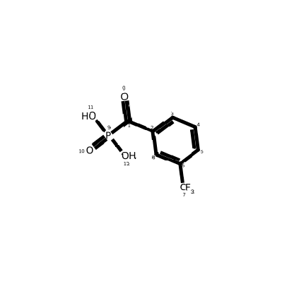 O=C(c1cccc(C(F)(F)F)c1)P(=O)(O)O